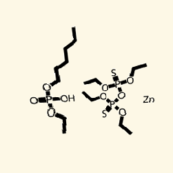 CCCCCCOP(=O)(O)OCC.CCOP(=S)(OCC)OP(=S)(OCC)OCC.[Zn]